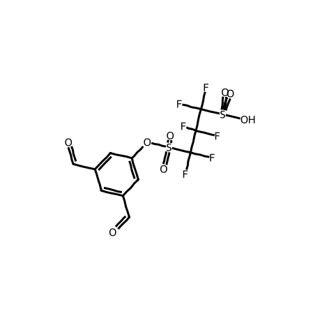 O=Cc1cc(C=O)cc(OS(=O)(=O)C(F)(F)C(F)(F)C(F)(F)S(=O)(=O)O)c1